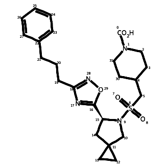 O=C(O)N1CCC(CS(=O)(=O)N2CC3(CC3)C[C@H]2c2nc(CCCc3ccccc3)no2)CC1